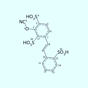 N#COc1c(S(=O)(=O)O)ccc(C=Cc2ccccc2S(=O)(=O)O)c1S(=O)(=O)O